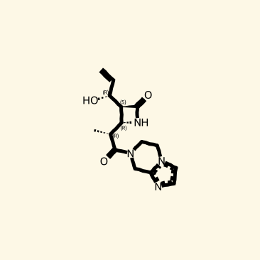 C=C[C@@H](O)[C@H]1C(=O)N[C@@H]1[C@@H](C)C(=O)N1CCn2ccnc2C1